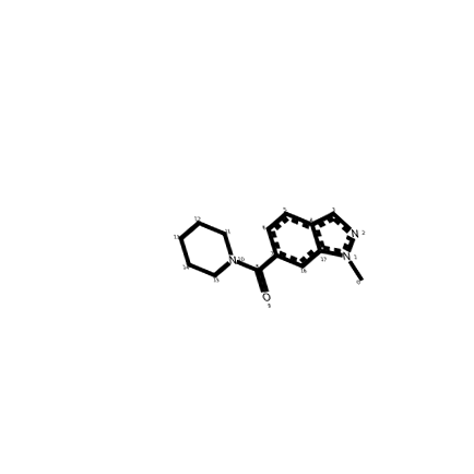 Cn1ncc2ccc(C(=O)N3CCCCC3)cc21